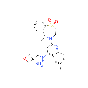 Cc1ccc2nc(N3CCS(=O)(=O)c4ccccc4C3C)cc(NCC3(N)COC3)c2c1